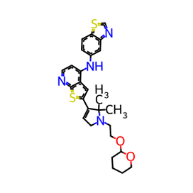 CC1(C)C(c2cc3c(Nc4ccc5scnc5c4)ccnc3s2)=CCN1CCOC1CCCCO1